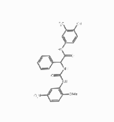 COc1ccc([N+](=O)[O-])cc1NC(=O)NC(C(=O)Nc1ccc(C)c(C(F)(F)F)c1)c1ccccc1